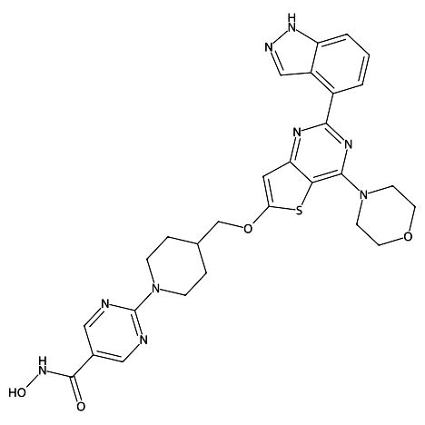 O=C(NO)c1cnc(N2CCC(COc3cc4nc(-c5cccc6[nH]ncc56)nc(N5CCOCC5)c4s3)CC2)nc1